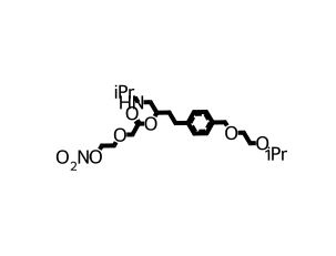 CC(C)NCC(CCc1ccc(COCCOC(C)C)cc1)OC(=O)COCCO[N+](=O)[O-]